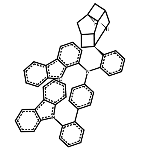 c1ccc(-n2c3ccccc3c3ccccc32)c(-c2ccc(N(c3ccccc3[C@]34CC5C[C@H]6CC(C3)[C@H]6C54)c3cccc4c3oc3ccccc34)cc2)c1